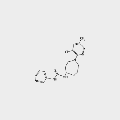 FC(F)(F)c1cnc(N2CCCC(NC(=S)Nc3cccnc3)CC2)c(Cl)c1